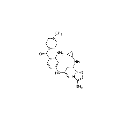 CN1CCN(C(=O)c2ccc(Nc3cc(NC4CC4)c4ncc(N)n4n3)cc2N)CC1